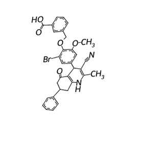 COc1cc(C2C(C#N)=C(C)NC3=C2C(=O)CC(c2ccccc2)C3)cc(Br)c1OCc1cccc(C(=O)O)c1